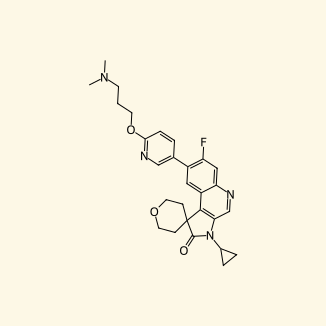 CN(C)CCCOc1ccc(-c2cc3c4c(cnc3cc2F)N(C2CC2)C(=O)C42CCOCC2)cn1